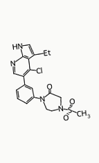 CCc1c[nH]c2ncc(-c3cccc(N4CCN(S(C)(=O)=O)CC4=O)c3)c(Cl)c12